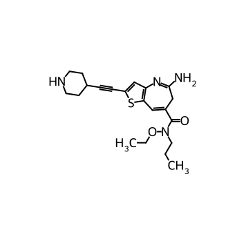 CCCN(OCC)C(=O)C1=Cc2sc(C#CC3CCNCC3)cc2N=C(N)C1